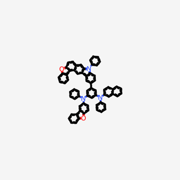 c1ccc(N(c2cc(-c3ccc4c(c3)c3cc5c(ccc6oc7ccccc7c65)cc3n4-c3ccccc3)cc(N(c3ccccc3)c3ccc4oc5ccccc5c4c3)c2)c2ccc3ccccc3c2)cc1